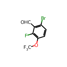 O=Cc1c(Br)ccc(OC(F)(F)F)c1F